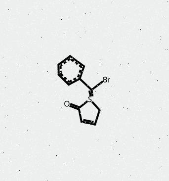 O=C1C=CCS1=C(Br)c1ccccc1